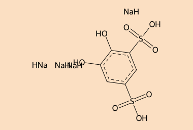 O=S(=O)(O)c1cc(O)c(O)c(S(=O)(=O)O)c1.[NaH].[NaH].[NaH].[NaH]